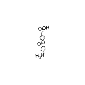 NC[C@H]1CC[C@H](C(=O)Oc2ccc(CCC(=O)O)cc2)CC1